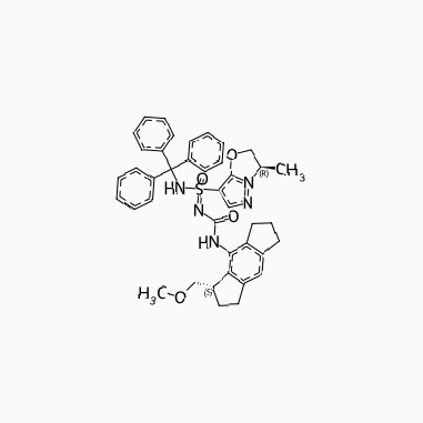 COC[C@H]1CCc2cc3c(c(NC(=O)N=S(=O)(NC(c4ccccc4)(c4ccccc4)c4ccccc4)c4cnn5c4OC[C@H]5C)c21)CCC3